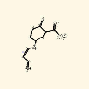 CCOC(=O)C(=O)C1CC(N/C=C\C=N)CCC1=O